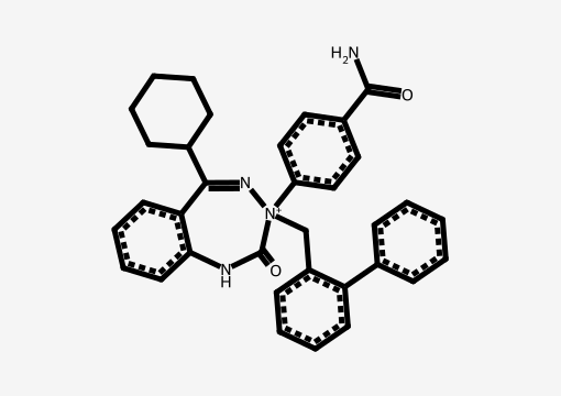 NC(=O)c1ccc([N+]2(Cc3ccccc3-c3ccccc3)N=C(C3CCCCC3)c3ccccc3NC2=O)cc1